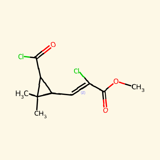 COC(=O)/C(Cl)=C/C1C(C(=O)Cl)C1(C)C